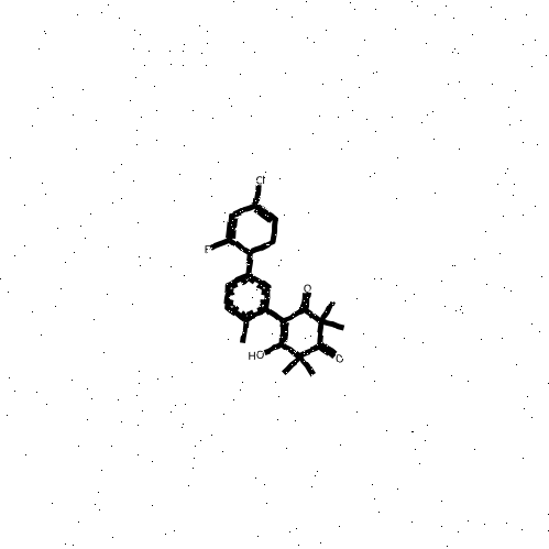 Cc1ccc(C2CC=C(Cl)C=C2F)cc1C1=C(O)C(C)(C)C(=O)C(C)(C)C1=O